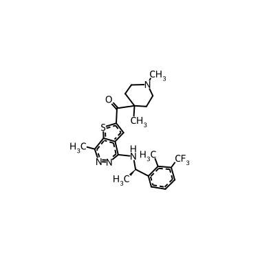 Cc1c([C@@H](C)Nc2nnc(C)c3sc(C(=O)C4(C)CCN(C)CC4)cc23)cccc1C(F)(F)F